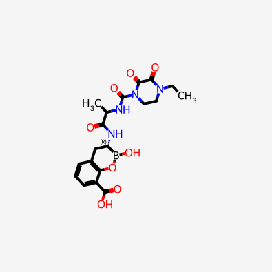 CCN1CCN(C(=O)NC(C)C(=O)N[C@H]2Cc3cccc(C(=O)O)c3OB2O)C(=O)C1=O